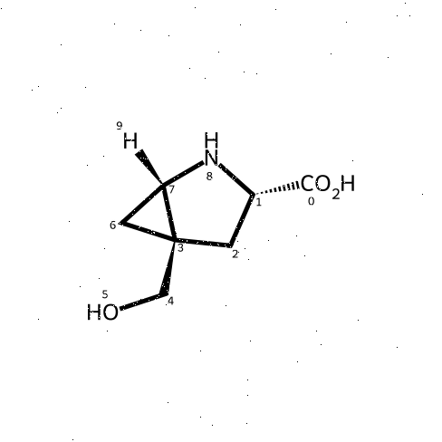 O=C(O)[C@@H]1C[C@]2(CO)C[C@@H]2N1